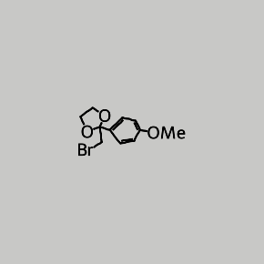 COc1ccc(C2(CBr)OCCO2)cc1